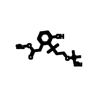 CC(C)(C)OC(=O)Cc1cccc(O)c1C(C)(C)CCO[Si](C)(C)C(C)(C)C